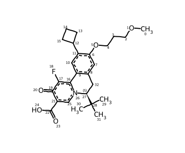 COCCCOc1cc2c(cc1C1CCC1)-c1c(F)c(=O)c(C(=O)O)cn1[C@H](C(C)(C)C)C2